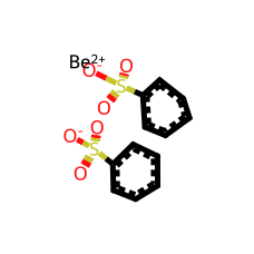 O=S(=O)([O-])c1ccccc1.O=S(=O)([O-])c1ccccc1.[Be+2]